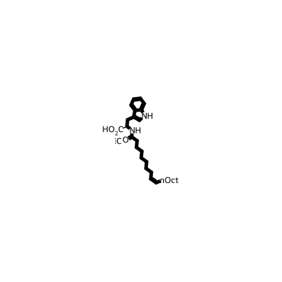 CCCCCCCC/C=C\CCCCCCCC(=O)N[C@@H](Cc1c[nH]c2ccccc12)C(=O)O.[C]